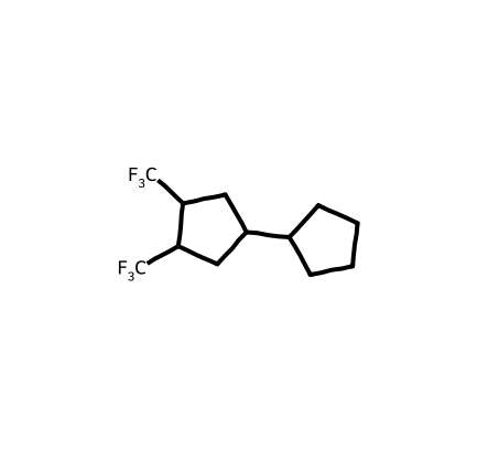 FC(F)(F)C1CC(C2CCCC2)CC1C(F)(F)F